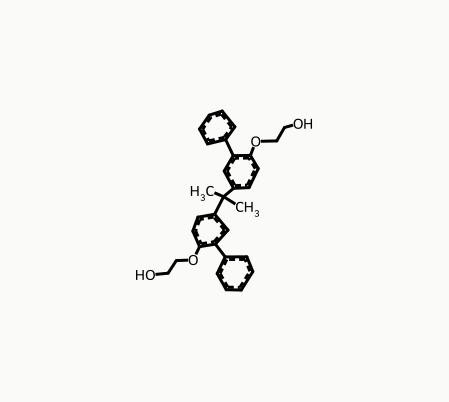 CC(C)(c1ccc(OCCO)c(-c2ccccc2)c1)c1ccc(OCCO)c(-c2ccccc2)c1